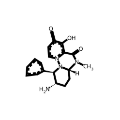 CN1C(=O)c2c(O)c(=O)ccn2N2[C@H](c3ccccc3)[C@@H](N)CC[C@@H]12